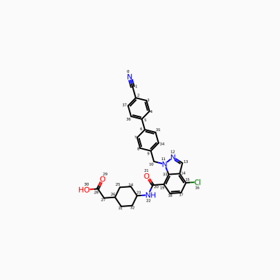 N#Cc1ccc(-c2ccc(Cn3ncc4c(Cl)ccc(C(=O)NC5CCC(CC(=O)O)CC5)c43)cc2)cc1